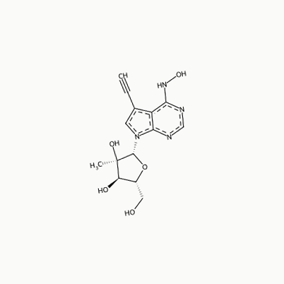 C#Cc1cn([C@@H]2O[C@H](CO)[C@@H](O)[C@@]2(C)O)c2ncnc(NO)c12